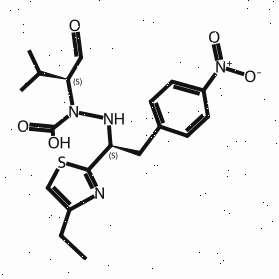 CCc1csc([C@H](Cc2ccc([N+](=O)[O-])cc2)NN(C(=O)O)[C@H](C=O)C(C)C)n1